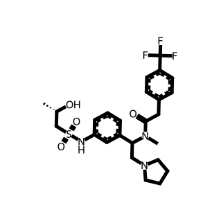 C[C@H](O)CS(=O)(=O)Nc1cccc(C(CN2CCCC2)N(C)C(=O)Cc2ccc(C(F)(F)F)cc2)c1